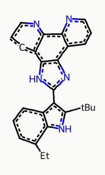 CCc1cccc2c(-c3nc4c5cccnc5c5ncccc5c4[nH]3)c(C(C)(C)C)[nH]c12